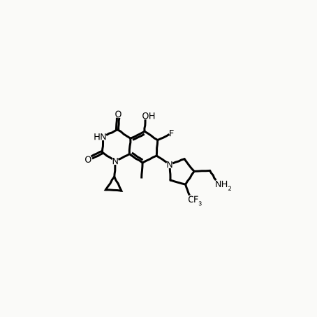 CC1=c2c(c(=O)[nH]c(=O)n2C2CC2)=C(O)C(F)C1N1CC(CN)C(C(F)(F)F)C1